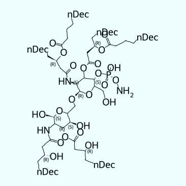 CCCCCCCCCCCCCC(=O)O[C@H](CCCCCCCCCCC)CC(=O)N[C@H]1C(OC(=O)C[C@@H](CCCCCCCCCCC)OC(=O)CCCCCCCCCCCCC)[C@H](OP(=O)(O)ON)C(CO)O[C@H]1OCC1O[C@H](O)C(NC(=O)C[C@H](O)CCCCCCCCCCC)[C@@H](OC(=O)C[C@H](O)CCCCCCCCCCC)[C@@H]1O